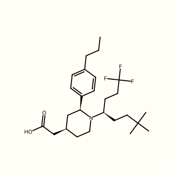 CCCc1ccc([C@@H]2C[C@H](CC(=O)O)CCN2[C@H](CCC(C)(C)C)CCC(F)(F)F)cc1